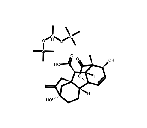 C=C1C[C@]23C[C@@]1(O)CC[C@H]2[C@@]12C=C[C@H](O)[C@@](C)(C(=O)O1)[C@H]2[C@@H]3C(=O)O.C[SiH](O[Si](C)(C)C)O[Si](C)(C)C